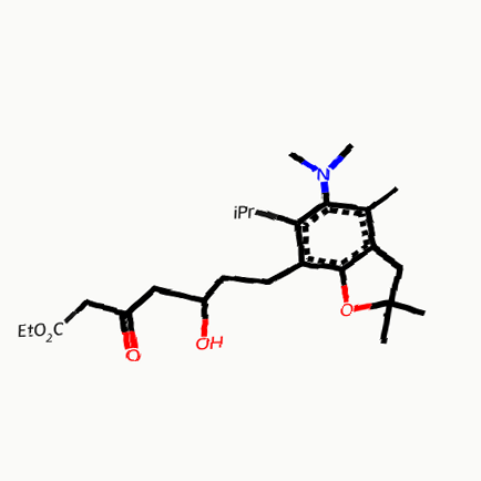 CCOC(=O)CC(=O)CC(O)CCc1c2c(c(C)c(N(C)C)c1C(C)C)CC(C)(C)O2